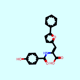 O=C(O)C(=Cc1ccc(-c2ccccc2)o1)NC(=O)c1ccc(O)cc1